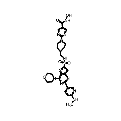 CNc1ccc(-c2nc(N3CCOCC3)c3sc(S(=O)(=O)NCC4CCN(c5ncc(C(=O)NO)cn5)CC4)cc3n2)cn1